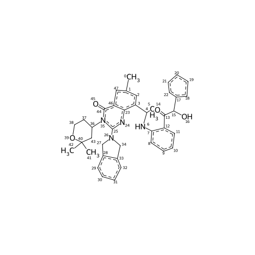 Cc1cc(C(C)Nc2ccccc2C(=O)C(O)c2ccccc2)c2nc(N3Cc4ccccc4C3)n(C3CCOC(C)(C)C3)c(=O)c2c1